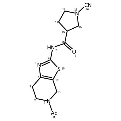 CC(=O)N1CCc2nc(NC(=O)C3CCN(C#N)C3)sc2C1